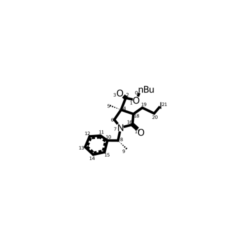 CCCCOC(=O)[C@]1(C)CN([C@H](C)c2ccccc2)C(=O)C1CCI